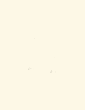 CCCCCCCCCCCCC(CCCC)[C](CCCC)CCCC